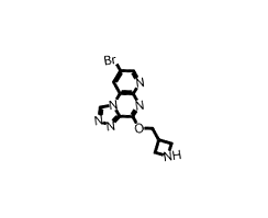 Brc1cnc2nc(OCC3CNC3)c3nncn3c2c1